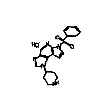 Cl.O=S(=O)(c1ccccc1)n1ccc2c3c(cnc21)ncn3C1CCNCC1